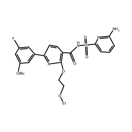 CCOCCOc1nc(-c2cc(F)cc(OCC(C)C)c2)ccc1C(=O)NS(=O)(=O)c1cccc(N)n1